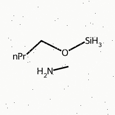 CCCCO[SiH3].CN